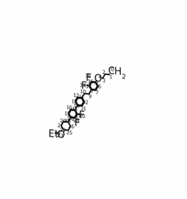 C=CCCOc1ccc(CCc2ccc(-c3ccc(C4CCC(OCC)CC4)c(F)c3F)cc2)c(F)c1F